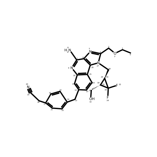 CCOCc1nc2c(N)nc3cc(Cc4ccc(CC#N)cc4)ccc3c2n1C[C@@H]1[C@@H](CO)C1(F)F